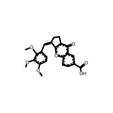 COc1ccc(/C=C2/CCc3c2oc2ccc(C(=O)O)cc2c3=O)c(OC)c1OC